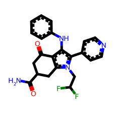 NC(=O)C1CC(=O)c2c(Nc3ccccc3)c(-c3ccncc3)n(CC(F)F)c2C1